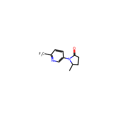 CC1CCC(=O)N1c1ccc(C(F)(F)F)nc1